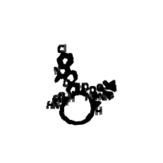 Cc1nc2cc(Cl)ccc2c2c1O[C@]1(CC2)C[C@H]2C(=O)N[C@]3(C(=O)NS(=O)(=O)C4(C)CC4)C[C@H]3/C=C\CCCCC[C@H](NC(=O)O)C(=O)N2C1